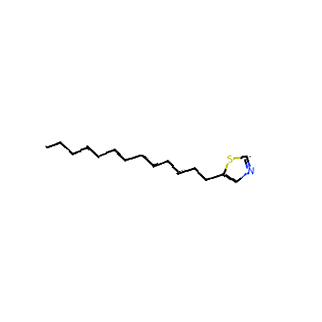 CCCCCCCCCCCCCC1CN=[C]S1